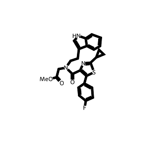 COC(=O)CN(CCc1c[nH]c2ccccc12)C(=O)c1nc(C2CC2)sc1-c1ccc(F)cc1